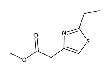 CCc1nc(CC(=O)OC)cs1